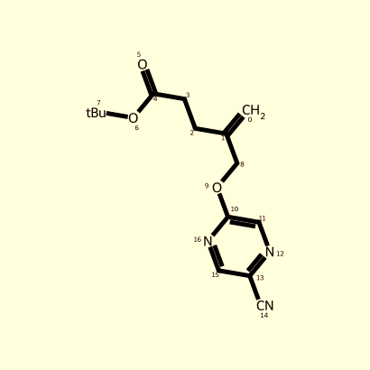 C=C(CCC(=O)OC(C)(C)C)COc1cnc(C#N)cn1